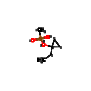 CCC1(OS(C)(=O)=O)CC1